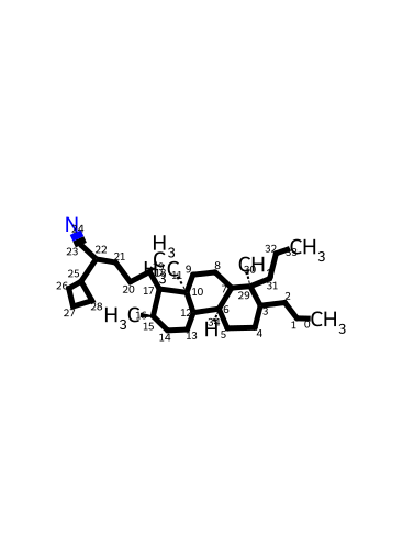 CCCC1CC[C@@H]2C(CC[C@@]3(C)C2CC[C@@H](C)C3[C@H](C)CCC(C#N)C2CCC2)[C@@]1(C)CCC